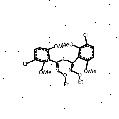 CCON=C(OC(=NOCC)c1c(OC)ccc(Cl)c1OC)c1c(OC)ccc(Cl)c1OC